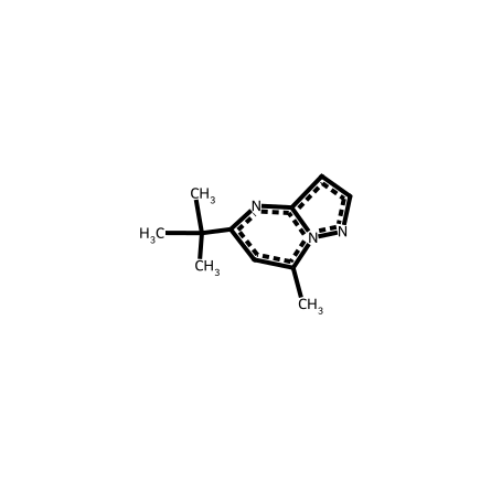 Cc1cc(C(C)(C)C)nc2ccnn12